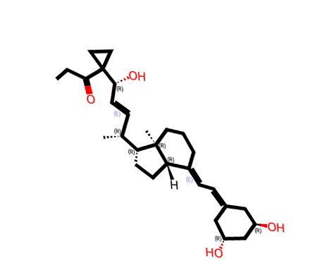 CCC(=O)C1([C@H](O)/C=C/[C@@H](C)[C@H]2CC[C@H]3/C(=C/C=C4C[C@@H](O)C[C@H](O)C4)CCC[C@]23C)CC1